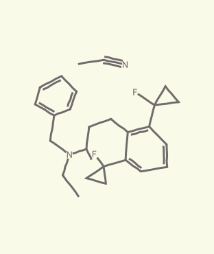 CC#N.CCN(Cc1ccccc1)C(C)CCc1c(C2(F)CC2)cccc1C1(F)CC1